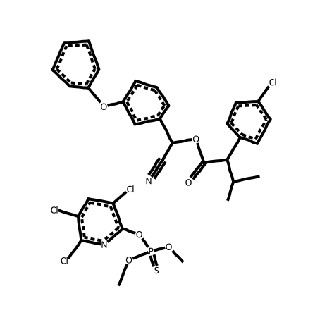 CC(C)C(C(=O)OC(C#N)c1cccc(Oc2ccccc2)c1)c1ccc(Cl)cc1.COP(=S)(OC)Oc1nc(Cl)c(Cl)cc1Cl